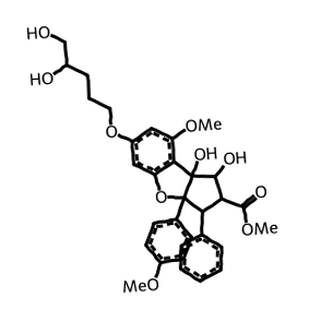 COC(=O)C1C(O)C2(O)c3c(OC)cc(OCCCC(O)CO)cc3OC2(c2ccc(OC)cc2)C1c1ccccc1